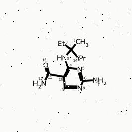 CCC(C)(Nc1nc(N)ncc1C(N)=O)C(C)C